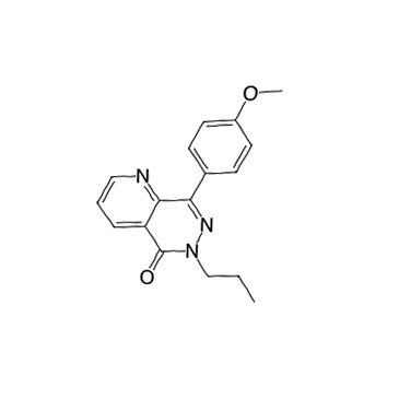 CCCn1nc(-c2ccc(OC)cc2)c2ncccc2c1=O